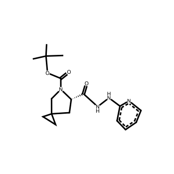 CC(C)(C)OC(=O)N1CC2(CC2)C[C@H]1C(=O)NNc1ccccn1